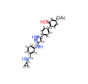 CC(=O)Oc1ccc(-c2ccc(-c3cc(Nc4cccc(CNC5CC5)c4)n[nH]3)cc2)c(O)c1